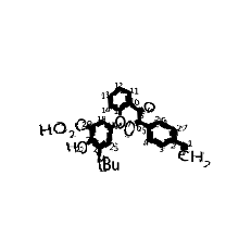 C=Cc1ccc(C(=O)C(=O)c2ccccc2Oc2cc(C(=O)O)c(O)c(C(C)(C)C)c2)cc1